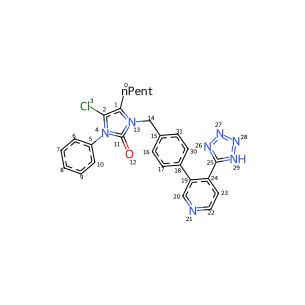 CCCCCc1c(Cl)n(-c2ccccc2)c(=O)n1Cc1ccc(-c2cnccc2-c2nnn[nH]2)cc1